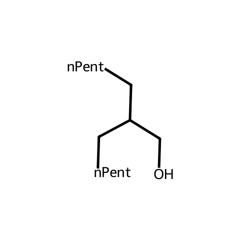 CCCCCCC(CO)CCCCCC